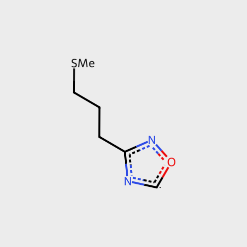 CSCCCc1n[c]on1